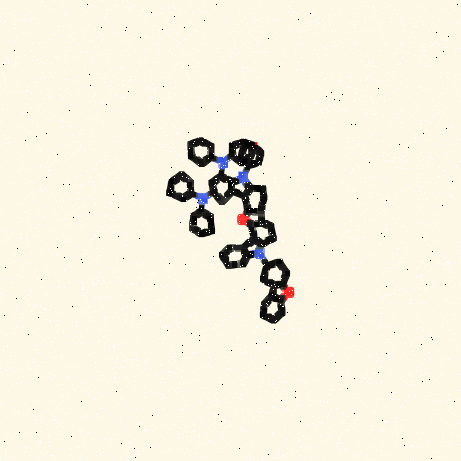 c1ccc(N(c2ccccc2)c2cc(N(c3ccccc3)c3ccccc3)c3c(c2)c2c4oc5c(ccc6c5c5ccccc5n6-c5ccc6oc7ccccc7c6c5)c4ccc2n3-c2ccccc2)cc1